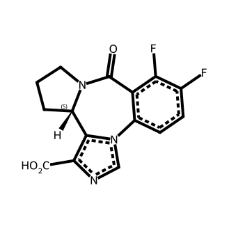 O=C(O)c1ncn2c1[C@@H]1CCCN1C(=O)c1c-2ccc(F)c1F